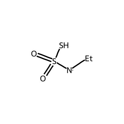 CC[N]S(=O)(=O)S